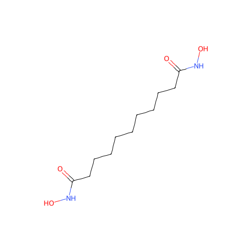 O=C(CCCCCCCCCC(=O)NO)NO